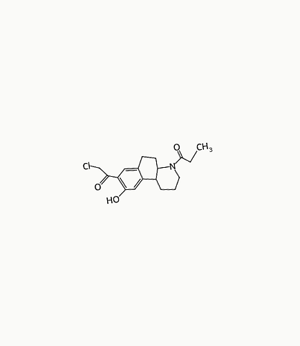 CCC(=O)N1CCCC2c3cc(O)c(C(=O)CCl)cc3CCC21